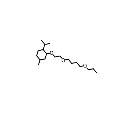 CCCOCCCCOCCOC1CC(C)CCC1C(C)C